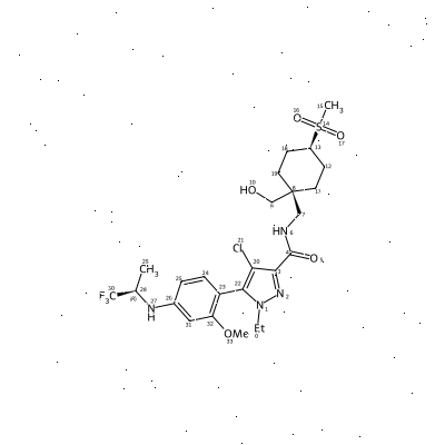 CCn1nc(C(=O)NC[C@]2(CO)CC[C@H](S(C)(=O)=O)CC2)c(Cl)c1-c1ccc(N[C@H](C)C(F)(F)F)cc1OC